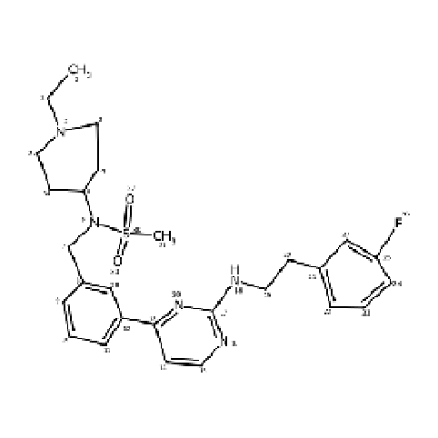 CCN1CCC(N(Cc2cccc(-c3ccnc(NCCc4cccc(F)c4)n3)c2)S(C)(=O)=O)CC1